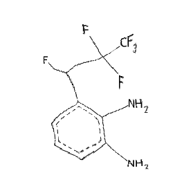 Nc1cccc(C(F)C(F)(F)C(F)(F)F)c1N